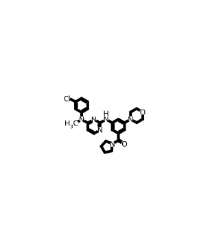 CN(c1cccc(Cl)c1)c1ccnc(Nc2cc(C(=O)N3CCCC3)cc(N3CCOCC3)c2)n1